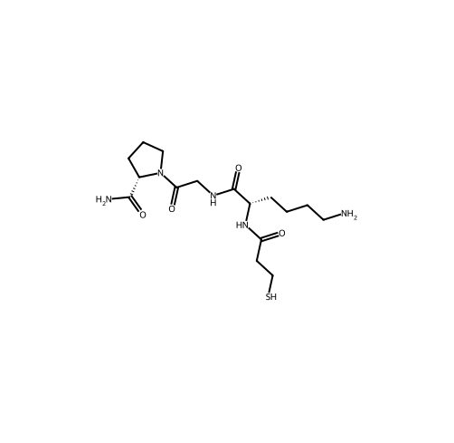 NCCCC[C@H](NC(=O)CCS)C(=O)NCC(=O)N1CCC[C@H]1C(N)=O